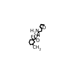 C=C1CCCC(CC)(C(=O)O/N=C(\N)Cc2ccco2)C1